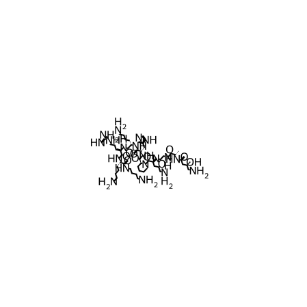 C[C@H](NC(=O)C[C@@H](O)CN)C(=O)NCC(=O)/N=C(\CCCN)C(=O)N1CCCC[C@H]1C(=O)N[C@@H](Cc1cnc[nH]1)C(=O)N[C@@H](CCCCN)C(=O)N/C(=C\CCNC(=N)N)C(=O)N[C@@H](CCCCN)C(=O)NCCCCN